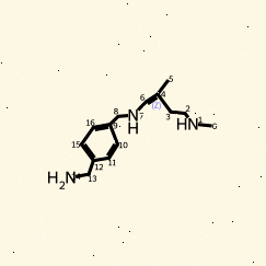 CNCC/C(C)=C\NCc1ccc(CN)cc1